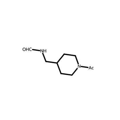 CC(=O)N1CCC(CNC=O)CC1